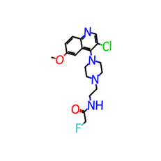 COc1ccc2ncc(Cl)c(N3CCN(CCNC(=O)CF)CC3)c2c1